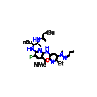 C=C/C=N\N(C)c1cc(Nc2nc(NC(CCCC)[C@H](C)NC(=C)CC(C)(C)C)c(F)cc2C(=O)NC)cnc1CC